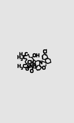 C=CCC(O)C1CCC1CN1CC2(CCCc3cc(Cl)ccc32)COc2ccc(C(=O)N[S+]([O-])C(C)(C)CC=C)cc21